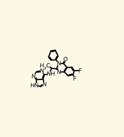 CC(Nc1ncnc2[nH]cnc12)c1nc2cc(F)c(F)cc2c(=O)n1-c1ccccc1